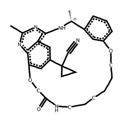 Cc1nc2c3cc(C4(C#N)CC4)cc(c3n1)OCC(=O)NCCCCCCOc1cccc(c1)[C@@H](C)N2